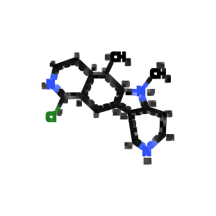 Cc1c2ccnc(Cl)c2cc2c3cnccc3n(C)c12